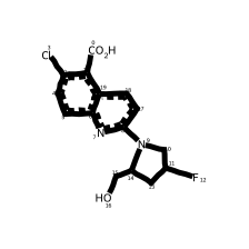 O=C(O)c1c(Cl)ccc2nc(N3CC(F)CC3CO)ccc12